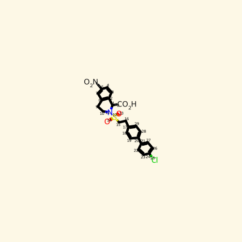 O=C(O)C1c2ccc([N+](=O)[O-])cc2CCN1S(=O)(=O)CCc1ccc(-c2ccc(Cl)cc2)cc1